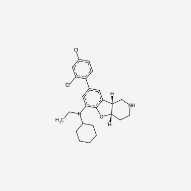 CCN(c1cc(-c2ccc(Cl)cc2Cl)cc2c1O[C@H]1CCNC[C@@H]21)C1CCCCC1